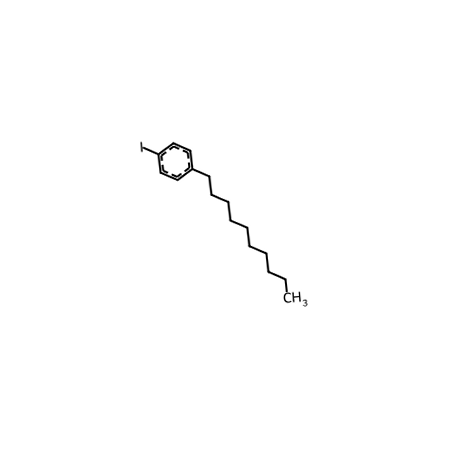 CCCCCCCCCCc1ccc(I)cc1